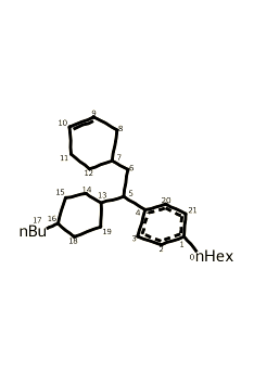 CCCCCCc1ccc(C(CC2CC=CCC2)C2CCC(CCCC)CC2)cc1